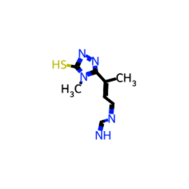 C/C(=C\C=N/C=N)c1nnc(S)n1C